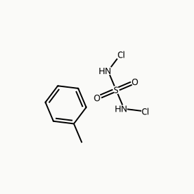 Cc1ccccc1.O=S(=O)(NCl)NCl